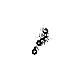 N=C(c1ccc(-n2cc3ccccc3n2)cc1)c1c(N)n[nH]c(=O)c1NC1CCCNC1